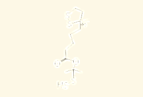 CC(C)(OC(=O)CCCC[C@]1(C)CCSS1)SS